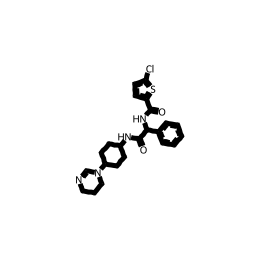 O=C(NC(C(=O)NC1CCC(N2C=NCCC2)CC1)c1ccccc1)c1ccc(Cl)s1